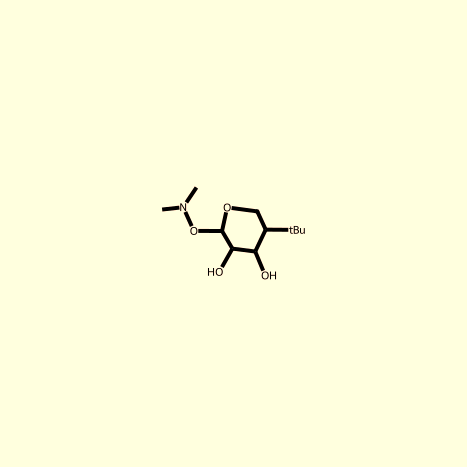 CN(C)OC1OCC(C(C)(C)C)C(O)C1O